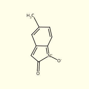 Cc1ccc2c(c1)=CC(=O)[N+]=2[O-]